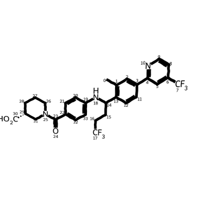 Cc1cc(-c2cc(C(F)(F)F)ccn2)ccc1C(CCC(F)(F)F)Nc1ccc(C(=O)N2CCC[C@@H](C(=O)O)C2)cc1